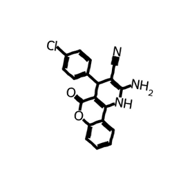 N#CC1=C(N)Nc2c(c(=O)oc3ccccc23)C1c1ccc(Cl)cc1